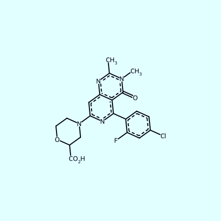 Cc1nc2cc(N3CCOC(C(=O)O)C3)nc(-c3ccc(Cl)cc3F)c2c(=O)n1C